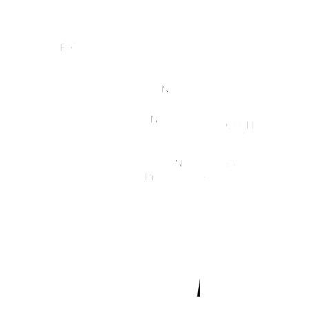 CC(C)N(c1nn(-c2cccc(C(F)(F)F)c2)cc1C(=O)O)C(=O)[C@H]1CC[C@H](C)CC1